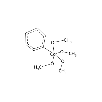 C[O][Co]([O]C)([O]C)([O]C)[c]1ccccc1